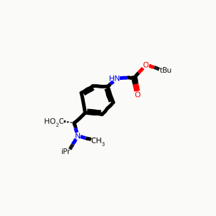 CC(C)N(C)[C@H](C(=O)O)c1ccc(NC(=O)OC(C)(C)C)cc1